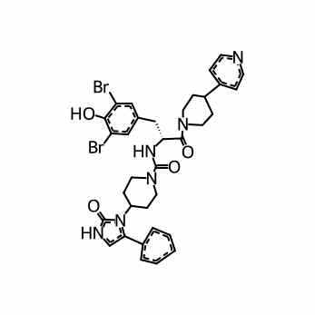 O=C(N[C@H](Cc1cc(Br)c(O)c(Br)c1)C(=O)N1CCC(c2ccncc2)CC1)N1CCC(n2c(-c3ccccc3)c[nH]c2=O)CC1